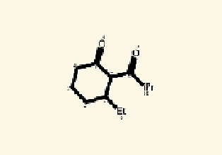 CCC1CCCC(=O)C1C(=O)C(C)C